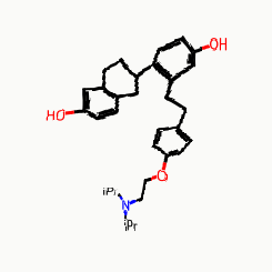 CC(C)N(CCOc1ccc(CCc2cc(O)ccc2C2CCc3cc(O)ccc3C2)cc1)C(C)C